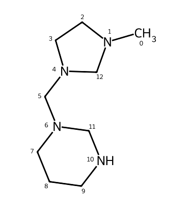 CN1CCN(CN2CCCNC2)C1